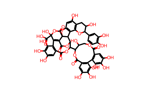 O=C1OC2C(C3OC(=O)c4cc(O)c(O)c(O)c4-c4c(cc(O)c(O)c4O)C(=O)OCC3O)OC(=O)c3cc(O)c(O)c(O)c3C3=C1C1(Oc4cc(O)c5c(c4C21)OC(c1ccc(O)c(O)c1)C(O)C5)C(=O)OC3(O)C(=O)O